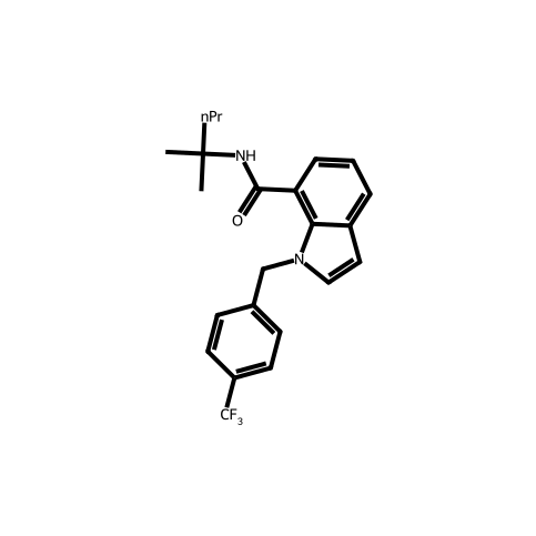 CCCC(C)(C)NC(=O)c1cccc2ccn(Cc3ccc(C(F)(F)F)cc3)c12